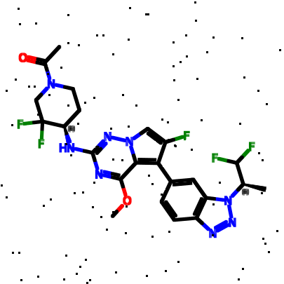 COc1nc(N[C@@H]2CCN(C(C)=O)CC2(F)F)nn2cc(F)c(-c3ccc4nnn([C@H](C)C(F)F)c4c3)c12